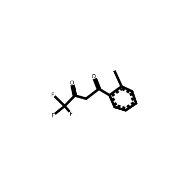 Cc1ccccc1C(=O)CC(=O)C(F)(F)F